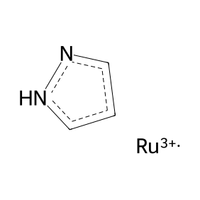 [Ru+3].c1cn[nH]c1